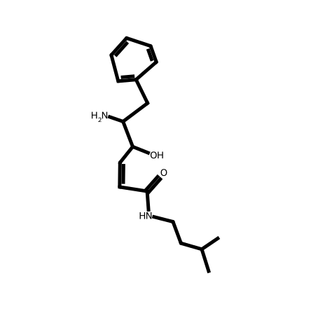 CC(C)CCNC(=O)/C=C\C(O)C(N)Cc1ccccc1